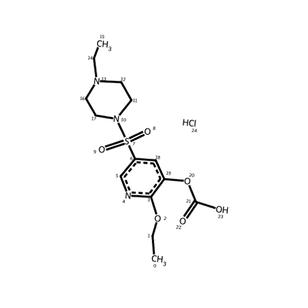 CCOc1ncc(S(=O)(=O)N2CCN(CC)CC2)cc1OC(=O)O.Cl